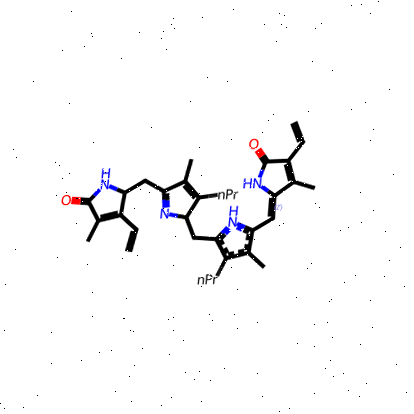 C=CC1=C(C)/C(=C/c2[nH]c(CC3N=C(CC4NC(=O)C(C)=C4C=C)C(C)=C3CCC)c(CCC)c2C)NC1=O